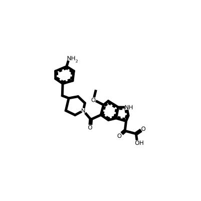 COc1cc2[nH]cc(C(=O)C(=O)O)c2cc1C(=O)N1CCC(Cc2ccc(N)cc2)CC1